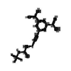 CC(C)(C)OC(=O)NCC#Cc1cc(C(=O)O)cc(C(=O)O)c1